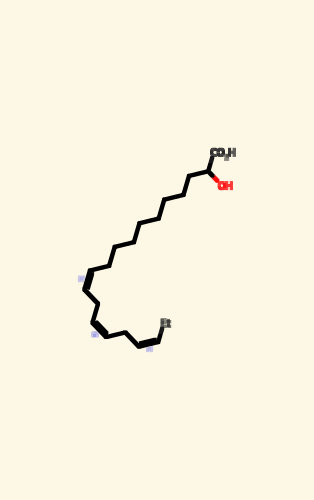 CC/C=C\C/C=C\C/C=C\CCCCCCCCC(O)C(=O)O